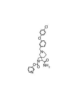 NC(=O)C1N(C(=O)Oc2cccnc2)CC12CCCN(Cc1cccc(Oc3ccc(Cl)cc3)c1)C2